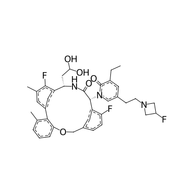 CCc1cc(CCN2CC(F)C2)cn([C@H]2C(=O)N[C@@H](CC(O)O)c3cc(cc(C)c3F)-c3c(C)cccc3OCc3ccc(F)c2c3)c1=O